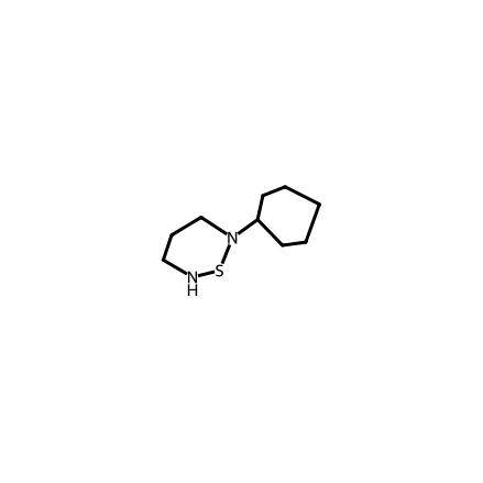 C1CCC(N2CCCNS2)CC1